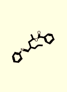 CCCC(C=Nc1ccccc1)CC(C)OC(=O)c1ccccc1